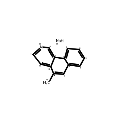 Cc1cc2ccccc2c2cnccc12.[NaH]